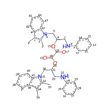 Cc1c(C)n(CC(CNc2ccccc2)OC(=O)C(=O)OC(CNc2ccccc2)Cn2c(C)c(C)c3ccccc32)c2ccccc12